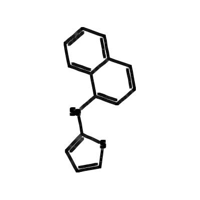 c1csc([Se]c2cccc3ccccc23)c1